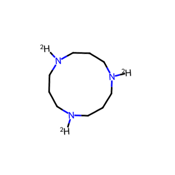 [2H]N1CCCN([2H])CCCN([2H])CCC1